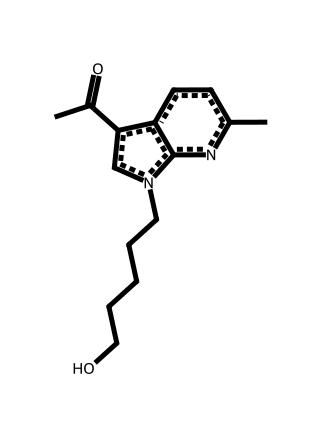 CC(=O)c1cn(CCCCCO)c2nc(C)ccc12